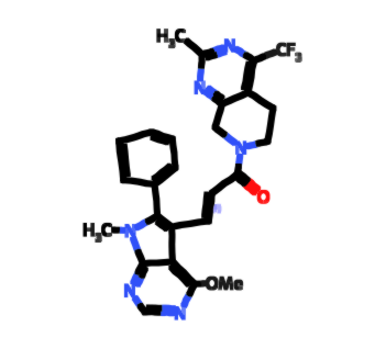 COc1ncnc2c1c(/C=C/C(=O)N1CCc3c(nc(C)nc3C(F)(F)F)C1)c(-c1ccccc1)n2C